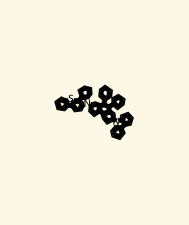 C1=CC(C2c3cc(-n4c5c(c6c7sc8ccccc8c7ccc64)CCC=C5)ccc3C3=C(CC(n4c5ccccc5c5ccccc54)C=C3)C2c2ccccc2)=CCC1